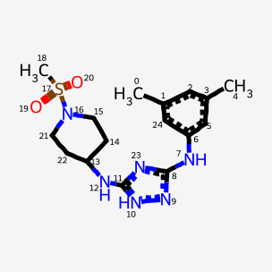 Cc1cc(C)cc(Nc2n[nH]c(NC3CCN(S(C)(=O)=O)CC3)n2)c1